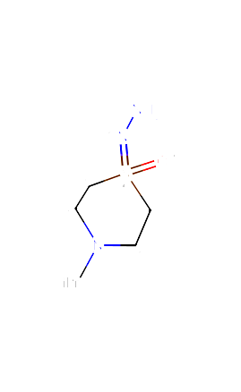 CC(C)N1CCS(=O)(=NN)CC1